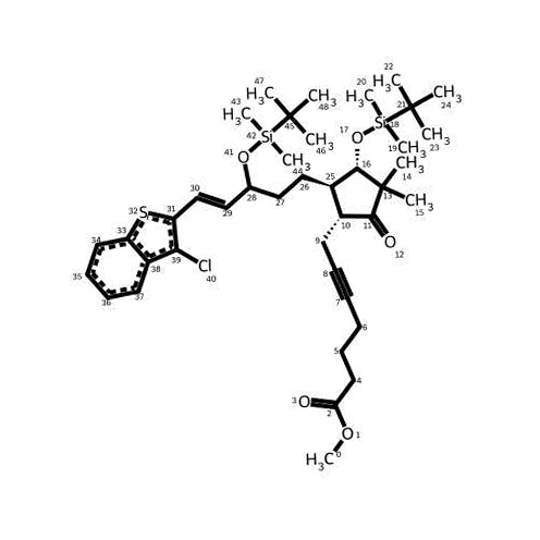 COC(=O)CCCC#CC[C@H]1C(=O)C(C)(C)[C@@H](O[Si](C)(C)C(C)(C)C)[C@@H]1CCC(/C=C/c1sc2ccccc2c1Cl)O[Si](C)(C)C(C)(C)C